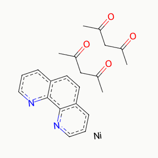 CC(=O)CC(C)=O.CC(=O)CC(C)=O.[Ni].c1cnc2c(c1)ccc1cccnc12